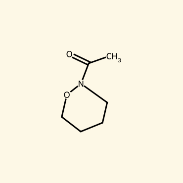 CC(=O)N1CCCCO1